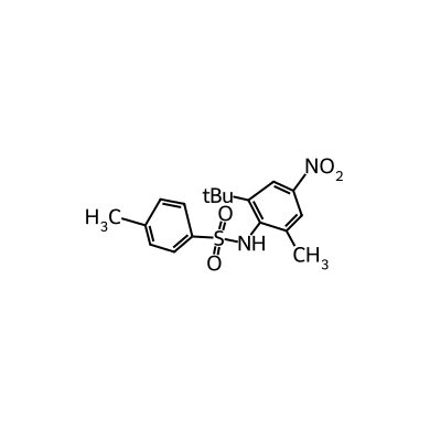 Cc1ccc(S(=O)(=O)Nc2c(C)cc([N+](=O)[O-])cc2C(C)(C)C)cc1